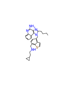 CCCCc1nc2c(N)nc3ccccc3c2n1Cc1ccc(CNCCC2CC2)c2sccc12